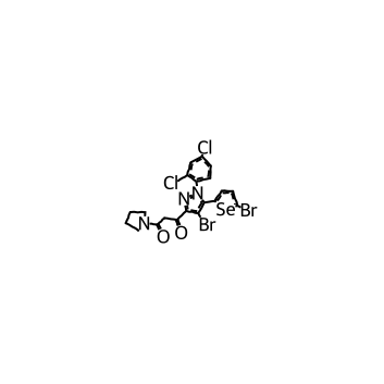 O=C(CC(=O)N1CCCC1)c1nn(-c2ccc(Cl)cc2Cl)c(-c2ccc(Br)[se]2)c1Br